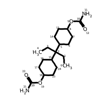 CCC(CC)(C1CCC(OC(N)=O)CC1)C1CCC(OC(N)=O)CC1